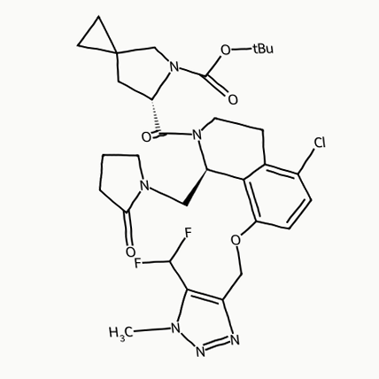 Cn1nnc(COc2ccc(Cl)c3c2[C@@H](CN2CCCC2=O)N(C(=O)[C@@H]2CC4(CC4)CN2C(=O)OC(C)(C)C)CC3)c1C(F)F